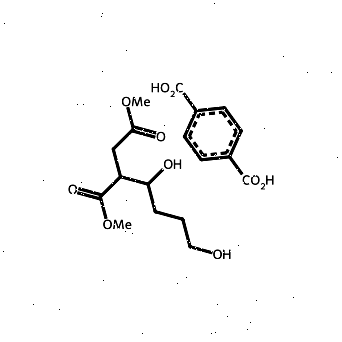 COC(=O)CC(C(=O)OC)C(O)CCCO.O=C(O)c1ccc(C(=O)O)cc1